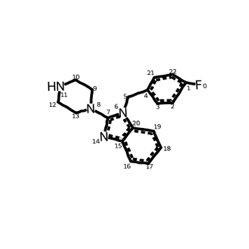 Fc1ccc(Cn2c(N3CCNCC3)nc3ccccc32)cc1